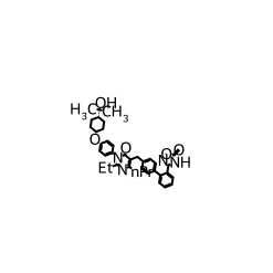 CCCc1nc(CC)n(-c2ccc(O[C@H]3CC[C@@H](C(C)(C)O)CC3)cc2)c(=O)c1Cc1ccc(-c2ccccc2-c2noc(=O)[nH]2)cc1